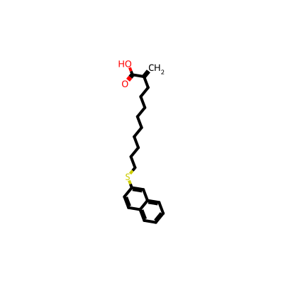 C=C(CCCCCCCCCSc1ccc2ccccc2c1)C(=O)O